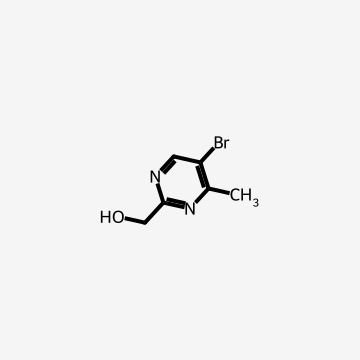 Cc1nc(CO)ncc1Br